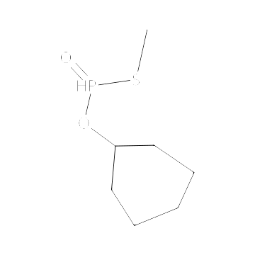 CS[PH](=O)OC1CCCCC1